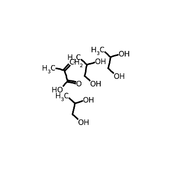 C=C(C)C(=O)O.CC(O)CO.CC(O)CO.CC(O)CO